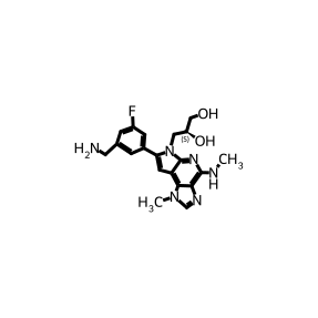 CNc1nc2c(cc(-c3cc(F)cc(CN)c3)n2C[C@H](O)CO)c2c1ncn2C